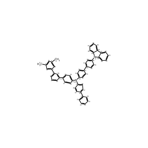 Cc1cc(C)cc(-c2cccc(-c3ccc(N(c4ccc(-c5ccccc5)cc4)c4ccc(-c5ccc(-n6c7ccccc7c7ccccc76)cc5)cc4)cc3)c2)c1